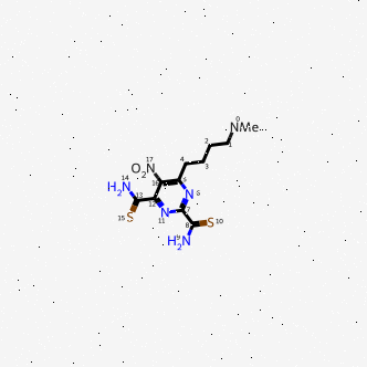 CNCCCCc1nc(C(N)=S)nc(C(N)=S)c1[N+](=O)[O-]